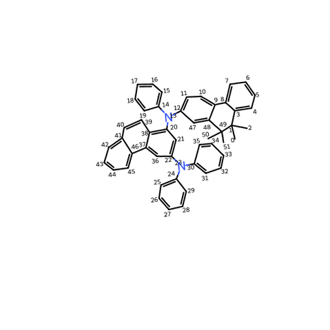 CC1(C)c2ccccc2-c2ccc(N(c3ccccc3)c3cc(N(c4ccccc4)c4ccccc4)cc4c3ccc3ccccc34)cc2C1(C)C